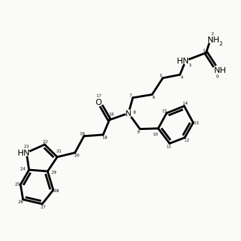 N=C(N)NCCCCN(Cc1ccccc1)C(=O)CCCc1c[nH]c2ccccc12